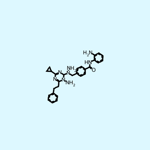 Nc1ccccc1NC(=O)c1ccc(CN(N)C2N=C(C3CC3)N=C(CCc3ccccc3)N2N)cc1